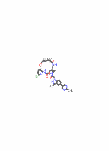 CC(=O)N[C@H]1C/C=C/COCc2ccc(Br)nc2NC(=O)[C@@H]2C[C@@]3(CNC1=O)CC3N2C(=O)Cn1nc(C(C)=O)c2cc(-c3cnc(C)nc3)ccc21